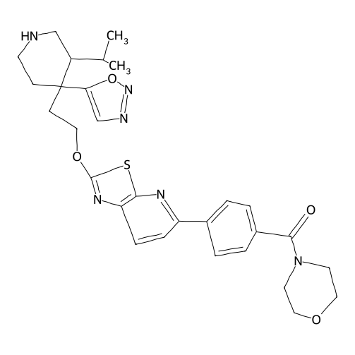 CC(C)C1CNCCC1(CCOc1nc2ccc(-c3ccc(C(=O)N4CCOCC4)cc3)nc2s1)c1cnno1